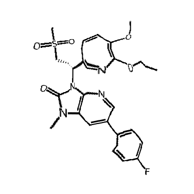 CCOc1nc([C@@H](CS(C)(=O)=O)n2c(=O)n(C)c3cc(-c4ccc(F)cc4)cnc32)ccc1OC